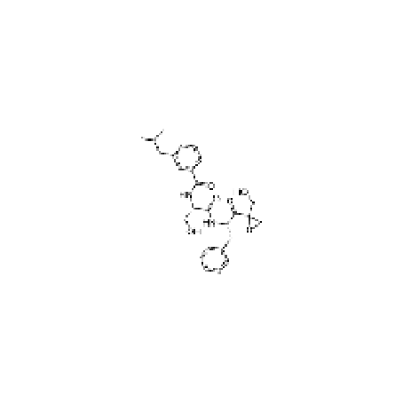 CC(C)Cc1cccc(C(=O)N[C@@H](CO)C(=O)N[C@@H](Cc2ccccc2)C(=O)C2(CO)CO2)c1